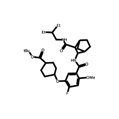 CCC(CC)CNC(=O)C1C2CCC(C2)C1NC(=O)c1cc(OC2CCC(C(=O)OC(C)(C)C)CC2)c(F)cc1OC